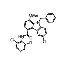 COc1ccc(C(=O)Nc2c(Cl)cncc2Cl)c2c3cc(Cl)ccc3n(Cc3ccccc3)c12